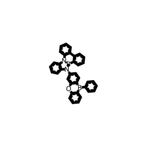 c1ccc(B2c3ccccc3Oc3cc(N4B5c6ccccc6-c6ccccc6N5c5ccccc54)ccc32)cc1